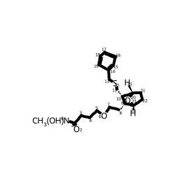 CN(O)C(=O)CCCOCC[C@@H]1[C@H](CSCc2ccccc2)[C@@H]2CC[C@H]1O2